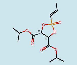 CC=CP1(=O)O[C@@H](C(=O)OC(C)C)[C@H](C(=O)OC(C)C)O1